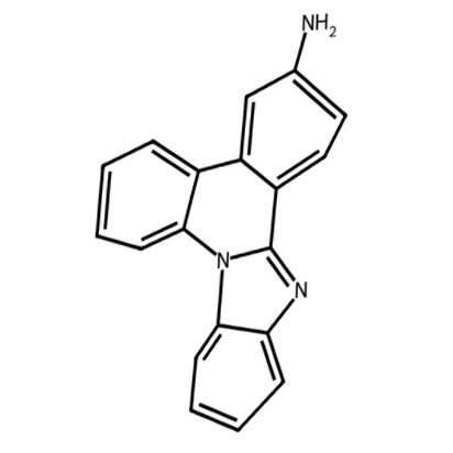 Nc1ccc2c(c1)c1ccccc1n1c3ccccc3nc21